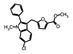 COC(=O)c1ccc(Cc2c(-c3ccccc3)n(C)c3cc(Cl)ccc23)o1